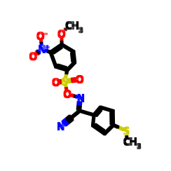 COc1ccc(S(=O)(=O)O/N=C(\C#N)c2ccc(SC)cc2)cc1[N+](=O)[O-]